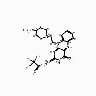 O=C(O)C(F)(F)F.O=C(O)C1CCN(CCn2c3nc(=O)[nH]c(=O)c-3nc3ccccc32)CC1